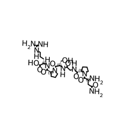 N=C(N)NCCC[C@H](NC(=O)[C@@H]1CCCN1C(=O)[C@H](CO)NC(=O)CNC(=O)[C@@H]1CCCN1C(=O)[C@@H](N)CC(N)=O)C(=O)O